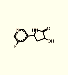 O=C1NC(c2cncc(F)c2)CC1O